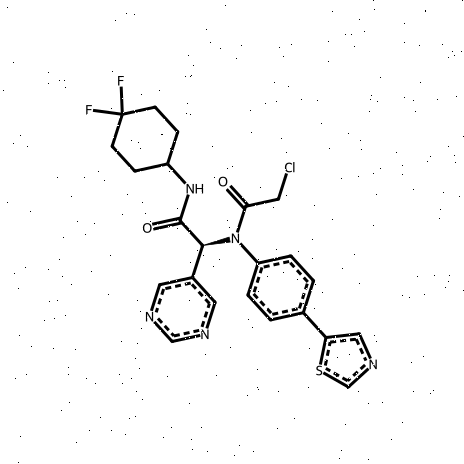 O=C(NC1CCC(F)(F)CC1)[C@H](c1cncnc1)N(C(=O)CCl)c1ccc(-c2cncs2)cc1